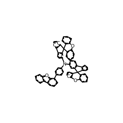 c1ccc2c(c1)Oc1ccccc1C21c2ccccc2-c2ccc(N(c3ccc(-c4cccc5c4oc4ccccc45)cc3)c3ccc4c(c3)C3(c5ccccc5Oc5ccccc53)c3ccccc3-4)cc21